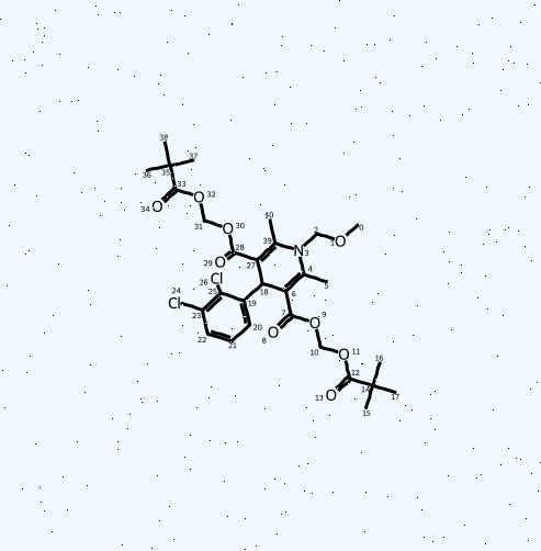 COCN1C(C)=C(C(=O)OCOC(=O)C(C)(C)C)C(c2cccc(Cl)c2Cl)C(C(=O)OCOC(=O)C(C)(C)C)=C1C